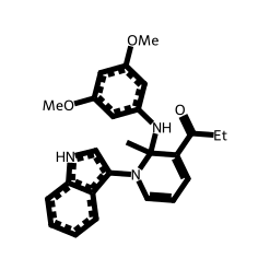 CCC(=O)C1=CC=CN(c2c[nH]c3ccccc23)C1(C)Nc1cc(OC)cc(OC)c1